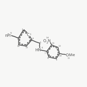 CCCc1ccc(CNc2ccc(OC)cc2[N+](=O)[O-])cc1